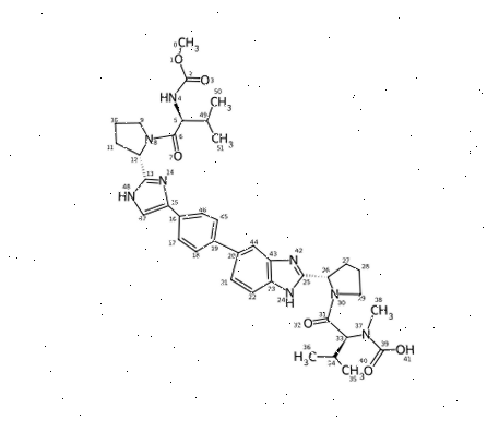 COC(=O)N[C@H](C(=O)N1CCC[C@H]1c1nc(-c2ccc(-c3ccc4[nH]c([C@@H]5CCCN5C(=O)[C@H](C(C)C)N(C)C(=O)O)nc4c3)cc2)c[nH]1)C(C)C